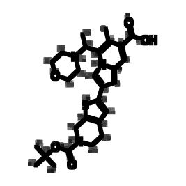 Cc1c(C(=O)O)cc2cc(-c3cc4c(s3)CN(C(=O)OC(C)(C)C)CC4)cn2c1C(C)N1CCOCC1